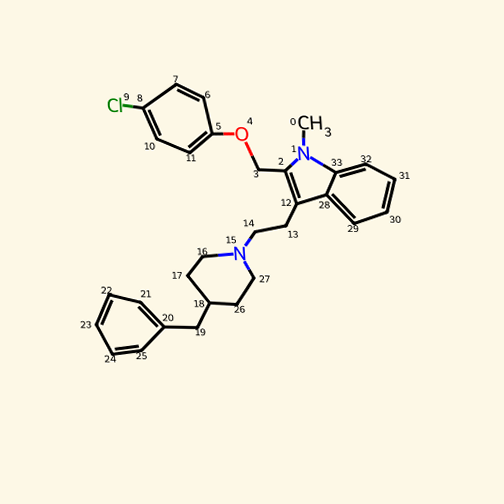 Cn1c(COc2ccc(Cl)cc2)c(CCN2CCC(Cc3ccccc3)CC2)c2ccccc21